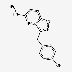 CC(C)Nc1ccc2nnc(Cc3ccc(O)cc3)n2n1